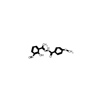 COc1ccc(C(=O)N/N=C(\C)c2cccc(N=O)c2O)cc1